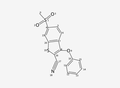 CS(=O)(=O)c1ccc2c(Oc3ccccc3)c(C#N)sc2c1